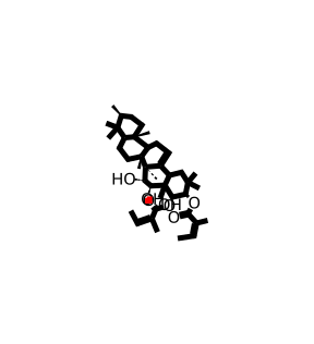 C/C=C(/C)C(=O)O[C@H]1[C@H](OC(=O)/C(C)=C\C)C2(CO)C(CC1(C)C)C1=CCC3[C@@]4(C)CC[C@H](C)C(C)(C)C4CC[C@@]3(C)[C@]1(C)[C@@H](O)[C@H]2O